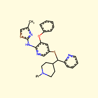 Cc1csc(Nc2ncc(SC(c3ccccn3)C3CCN(C(C)C)CC3)cc2Oc2ccccc2)n1